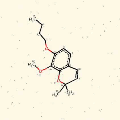 CCCCOc1ccc2c(c1OC)OC(C)(C)C=C2